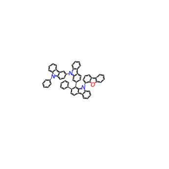 c1ccc(-c2ccc3c4ccccc4n(-c4cccc5c4oc4ccccc45)c3c2-c2ccc3c4ccccc4n(-c4ccc5c(c4)c4ccccc4n5-c4ccccc4)c3c2)cc1